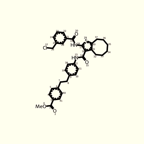 COC(=O)c1ccc(CCc2ccc(NC(=O)c3c(NC(=O)c4cccc(CCl)c4)sc4c3CCCCCC4)cc2)cc1